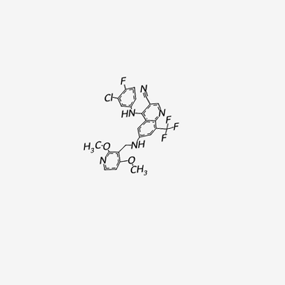 COc1ccnc(OC)c1CNc1cc(C(F)(F)F)c2ncc(C#N)c(Nc3ccc(F)c(Cl)c3)c2c1